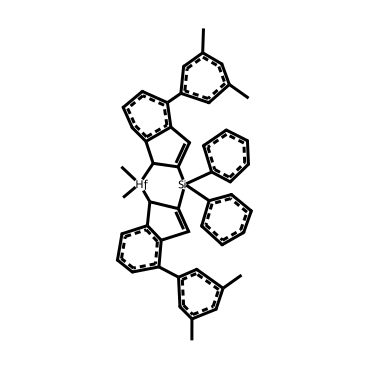 Cc1cc(C)cc(-c2cccc3c2C=C2[CH]3[Hf]([CH3])([CH3])[CH]3C(=Cc4c(-c5cc(C)cc(C)c5)cccc43)[Si]2(c2ccccc2)c2ccccc2)c1